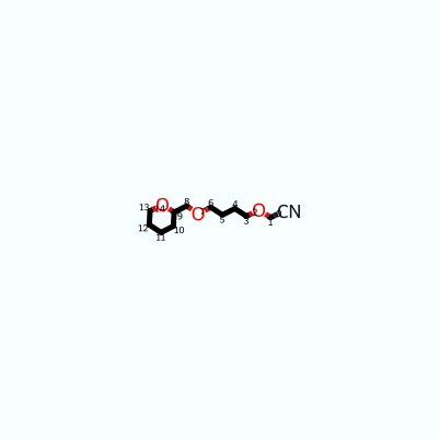 N#CCOCCCCOCC1CCCCO1